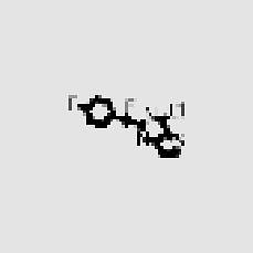 Fc1ccc(C(F)(F)c2nc(Cl)c3sccc3n2)cc1